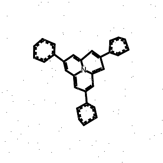 C1=C(c2ccccc2)C=C2C=C(c3ccccc3)C=C3C=C(c4ccccc4)C=C1N23